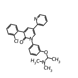 CC(Oc1cccc(-n2cc(-c3ccccn3)cc(-c3ccccc3Cl)c2=O)c1)N(C)C